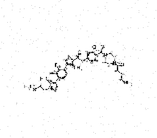 COCCn1ncc(-c2ccc(-c3cnc(C(=O)Nc4ccc(C(=O)N5CCN(C(=O)CCCN)CC5)c(Cl)c4)n3C)c(F)c2F)c1C